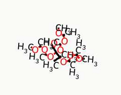 CCC(C)(OC(C)OC(C)OC)C(C=O)(OC(C)OC(C)OC)OC(C)OC(C)OC